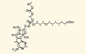 CCCCCCCCCCCCCCCCOCCCO[P@](=O)(OCOC(=O)OC(C)C)OC[C@H]1O[C@@](C#N)(c2ccc3c(N)ncnn23)[C@H](OC(C)=O)[C@@H]1OC(C)=O